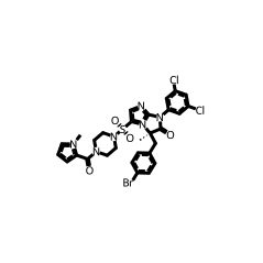 Cn1cccc1C(=O)N1CCN(S(=O)(=O)c2cnc3n2[C@](C)(Cc2ccc(Br)cc2)C(=O)N3c2cc(Cl)cc(Cl)c2)CC1